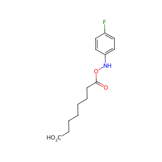 O=C(O)CCCCCCC(=O)ONc1ccc(F)cc1